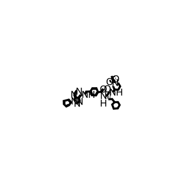 CS(=O)(=O)N1CCCC(NC(=O)[C@H](CCC2CCCCC2)NC(=O)c2ccc(CNc3ncnc4c3nnn4-c3ccccc3)cc2)C1